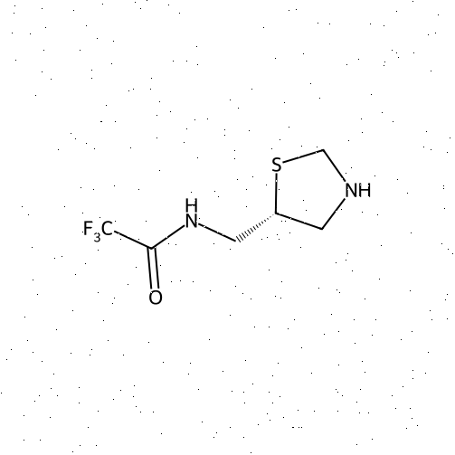 O=C(NC[C@H]1CNCS1)C(F)(F)F